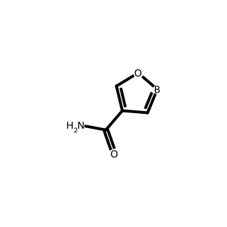 NC(=O)c1cboc1